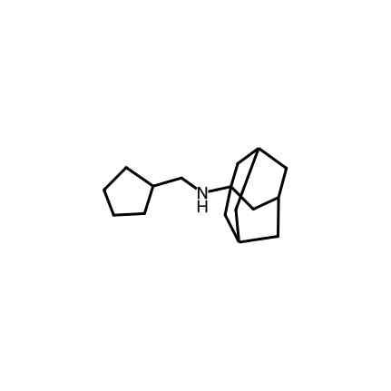 C1CCC(CNC23CC4CC(CC(C4)C2)C3)C1